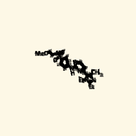 CCc1nc(C)c(-c2ccnc(Nc3ccc(S(=O)(=O)NCCOC)cc3)n2)n1CC